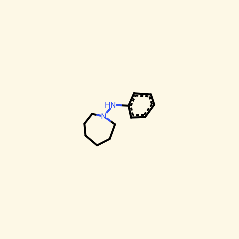 c1ccc(NN2CCCCCC2)cc1